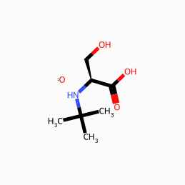 CC(C)(C)N[C@@H](CO)C(=O)O.[O]